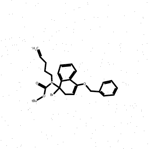 C=CCCCN(C(=O)OC(C)(C)C)C1(Br)CC=C(OCc2ccccc2)c2ccccc21